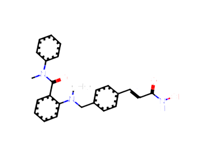 CN(C(=O)c1ccccc1N(C=O)Cc1ccc(/C=C/C(=O)NO)cc1)c1ccccc1